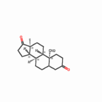 C[C@]12CC[C@H]3[C@@H](CCC4CC(=O)CC[C@@]43C=O)[C@@H]1CCC2=O